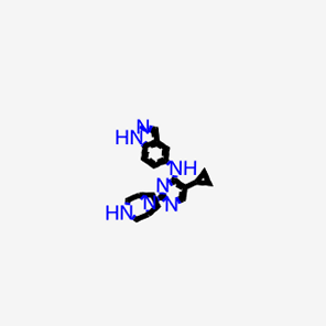 c1cc2[nH]ncc2cc1Nc1nc(N2C3CCC2CNC3)ncc1C1CC1